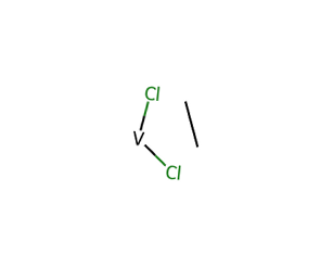 CC.[Cl][V][Cl]